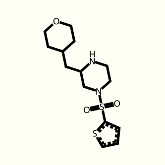 O=S(=O)(c1cccs1)N1CCNC(CC2CCOCC2)C1